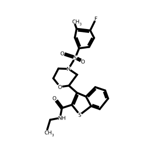 CCNC(=O)c1sc2ccccc2c1C1CN(S(=O)(=O)c2ccc(F)c(C)c2)CCO1